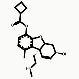 CNCC[C@@]12C=C[C@H](O)CC1Oc1c(OC(=O)C3CCC3)ccc(C)c12